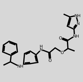 Cc1cc(NC(=O)C(C)OCC(=O)Nc2ccc(NC(C)c3ccccc3)cc2)n[nH]1